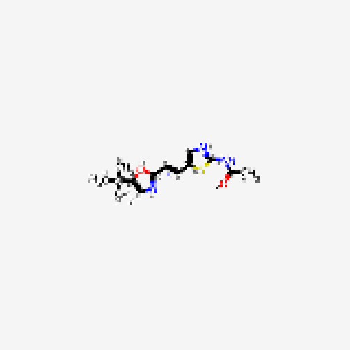 CC(=O)Nc1ncc(/C=C/c2ncc([Si](C)(C)C)o2)s1